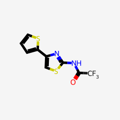 O=C(Nc1nc(-c2cccs2)cs1)C(F)(F)F